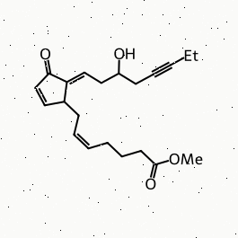 CCC#CCC(O)C/C=C1/C(=O)C=CC1C/C=C\CCCC(=O)OC